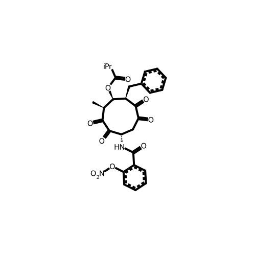 CC(C)C(=O)O[C@@H]1[C@H](C)C(=O)C(=O)[C@@H](NC(=O)c2ccccc2O[N+](=O)[O-])CC(=O)C(=O)[C@@H]1Cc1ccccc1